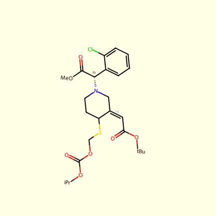 COC(=O)[C@H](c1ccccc1Cl)N1CCC(SCOC(=O)OC(C)C)/C(=C\C(=O)OC(C)(C)C)C1